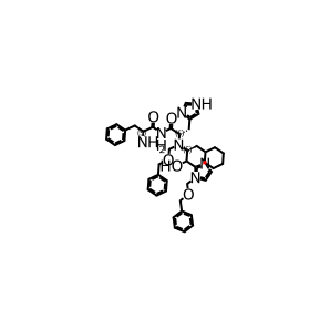 N[C@@H](Cc1ccccc1)C(=O)NC(=O)[C@H](Cc1c[nH]cn1)N(COCc1ccccc1)[C@@H](CC1CCCCC1)C(O)c1nccn1COCc1ccccc1